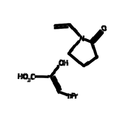 C=CN1CCCC1=O.CCC/C=C(\O)C(=O)O